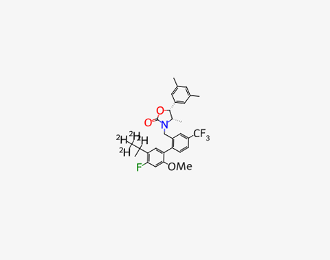 [2H]C([2H])([2H])C([2H])(C)c1cc(-c2ccc(C(F)(F)F)cc2CN2C(=O)O[C@H](c3cc(C)cc(C)c3)[C@@H]2C)c(OC)cc1F